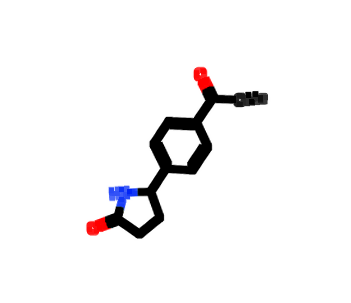 COC(=O)c1ccc(C2CCC(=O)N2)cc1